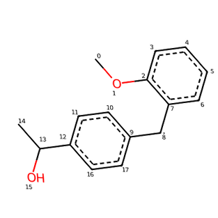 COc1ccccc1[CH]c1ccc(C(C)O)cc1